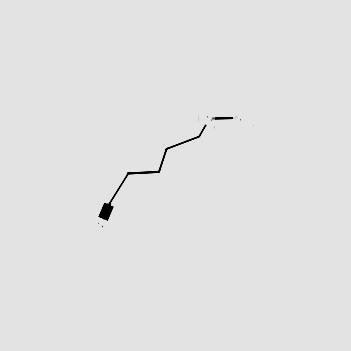 N#CCCCCNN